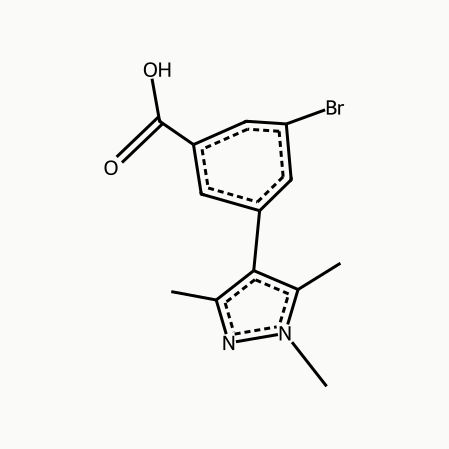 Cc1nn(C)c(C)c1-c1cc(Br)cc(C(=O)O)c1